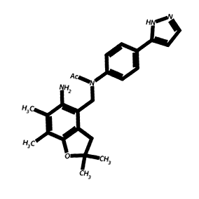 CC(=O)N(Cc1c(N)c(C)c(C)c2c1CC(C)(C)O2)c1ccc(-c2ccn[nH]2)cc1